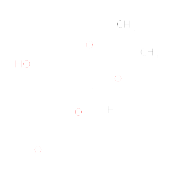 CC1(C)OC2C(O)[C@@H](C=O)O[C@@H]2O1